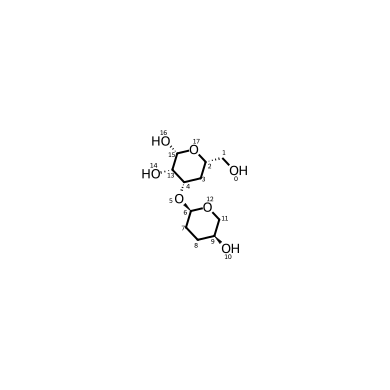 OC[C@@H]1C[C@H](O[C@@H]2CC[C@H](O)CO2)[C@H](O)[C@H](O)O1